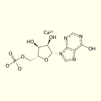 O=P([O-])([O-])OC[C@H]1O[C@@H](n2cnc3c(O)ncnc32)[C@H](O)[C@@H]1O.[Ca+2]